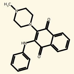 CN1CCN(C2=C(Nc3ccccc3)C(=O)c3ccccc3C2=O)CC1